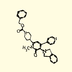 Cn1c(C2CCN(C(=O)OCc3ccccc3)CC2)cc(-c2ccncc2)c(N2Cc3ccccc3C2)c1=O